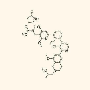 COc1cc(-c2nccc(-c3cccc(-c4cc(Cl)c(CN(C[C@@H]5CCC(=O)N5)C(=O)O)c(OC)n4)c3Cl)c2Cl)cc2c1CN(C[C@@H](C)O)CC2